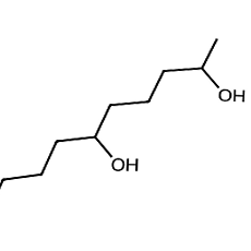 CCCCC(O)CCCC(C)O